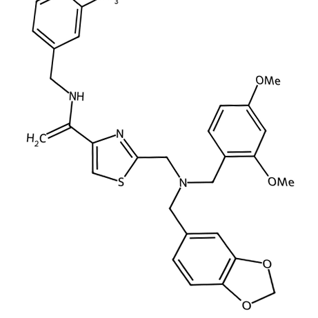 C=C(NCc1cccc(C(F)(F)F)c1)c1csc(CN(Cc2ccc3c(c2)OCO3)Cc2ccc(OC)cc2OC)n1